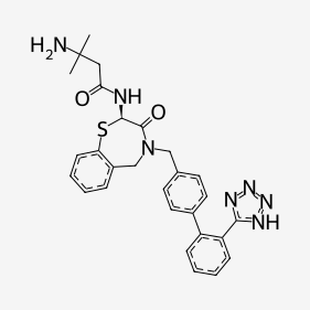 CC(C)(N)CC(=O)N[C@@H]1Sc2ccccc2CN(Cc2ccc(-c3ccccc3-c3nnn[nH]3)cc2)C1=O